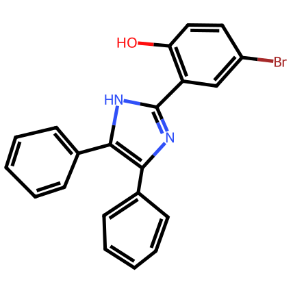 Oc1ccc(Br)cc1-c1nc(-c2ccccc2)c(-c2ccccc2)[nH]1